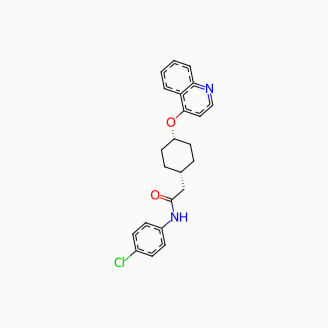 O=C(C[C@H]1CC[C@@H](Oc2ccnc3ccccc23)CC1)Nc1ccc(Cl)cc1